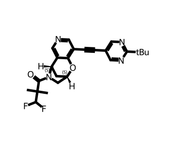 CC(C)(C)c1ncc(C#Cc2cncc3c2O[C@H]2C[C@@H]3N(C(=O)C(C)(C)C(F)F)C2)cn1